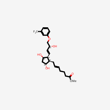 COC(=O)CCCC=CC[C@@H]1[C@H](C=C[C@@H](O)COc2cccc(C(F)(F)F)c2)[C@H](O)C[C@H]1O